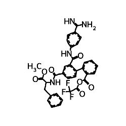 COC(=O)C(Cc1ccccc1)NC(=O)c1ccc(-c2ccccc2C(=O)OC(=O)C(F)(F)F)c(C(=O)Nc2ccc(C(=N)N)cc2)c1